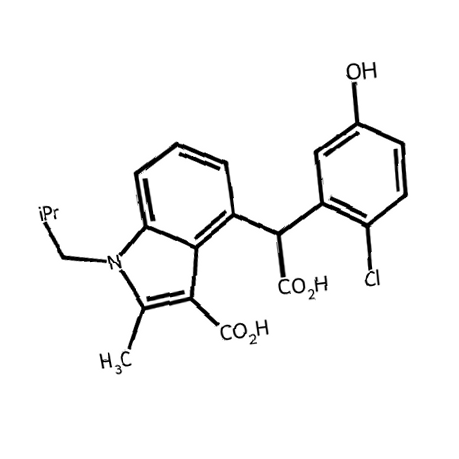 Cc1c(C(=O)O)c2c(C(C(=O)O)c3cc(O)ccc3Cl)cccc2n1CC(C)C